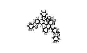 CC1(C)c2ccccc2-c2c1c(-c1c3ccccc3c(-c3ccc4sc5ccccc5c4c3)c3ccccc13)cc1c2ccc2c3ccccc3oc12